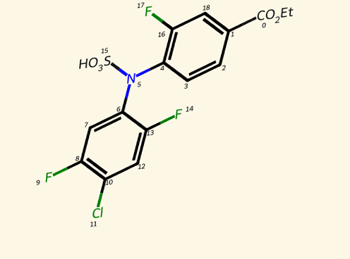 CCOC(=O)c1ccc(N(c2cc(F)c(Cl)cc2F)S(=O)(=O)O)c(F)c1